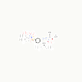 CC1(C)[C@H](C(=O)NC(C(=O)C2CC2)C2CC2)[C@H]1c1ccc(S(=O)(=O)N(C(=O)O)C(C)(C)C)cc1